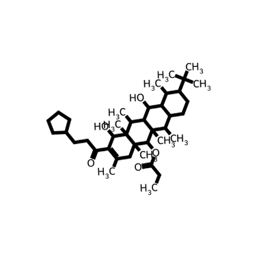 CCC(=O)OC1C2(C)C(C)C3CCC(C(C)(C)C)C(C)C3C(O)C2C(C)C2(C)C(O)C(C(=O)CCC3CCCC3)=C(C)CC12C